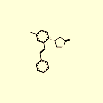 O=C1C[C@H](c2ccc(Cl)cc2/C=C/c2ccccc2)CN1